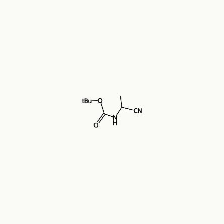 CC(C#N)NC(=O)OC(C)(C)C